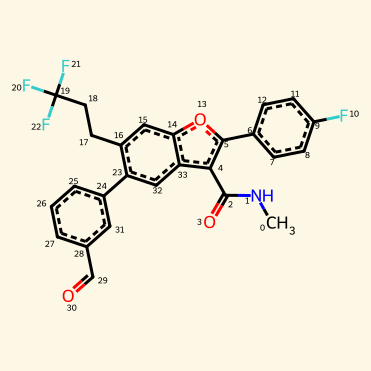 CNC(=O)c1c(-c2ccc(F)cc2)oc2cc(CCC(F)(F)F)c(-c3cccc(C=O)c3)cc12